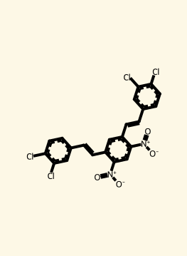 O=[N+]([O-])c1cc([N+](=O)[O-])c(C=Cc2ccc(Cl)c(Cl)c2)cc1C=Cc1ccc(Cl)c(Cl)c1